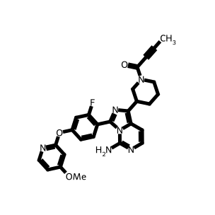 CC#CC(=O)N1CCCC(c2nc(-c3ccc(Oc4cc(OC)ccn4)cc3F)n3c(N)nccc23)C1